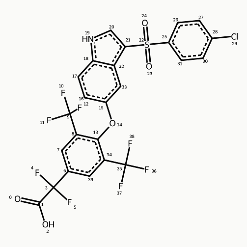 O=C(O)C(F)(F)c1cc(C(F)(F)F)c(Oc2ccc3[nH]cc(S(=O)(=O)c4ccc(Cl)cc4)c3c2)c(C(F)(F)F)c1